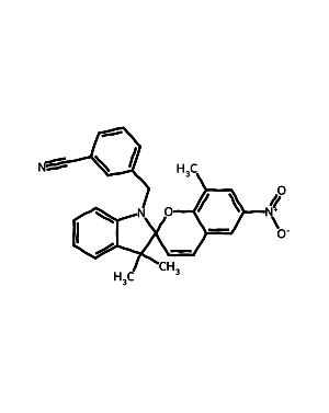 Cc1cc([N+](=O)[O-])cc2c1OC1(C=C2)N(Cc2cccc(C#N)c2)c2ccccc2C1(C)C